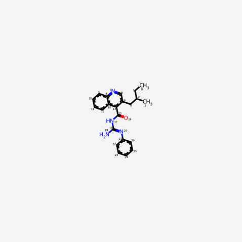 CCC(C)Cc1cnc2ccccc2c1C(=O)NC(N)=Nc1ccccc1